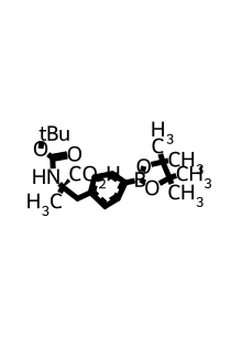 CC(C)(C)OC(=O)N[C@@](C)(Cc1ccc(B2OC(C)(C)C(C)(C)O2)cc1)C(=O)O